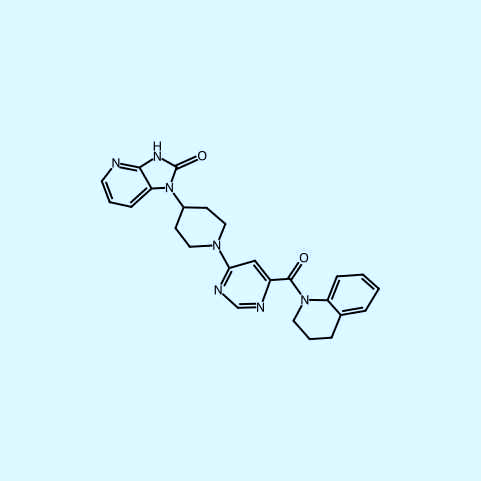 O=C(c1cc(N2CCC(n3c(=O)[nH]c4ncccc43)CC2)ncn1)N1CCCc2ccccc21